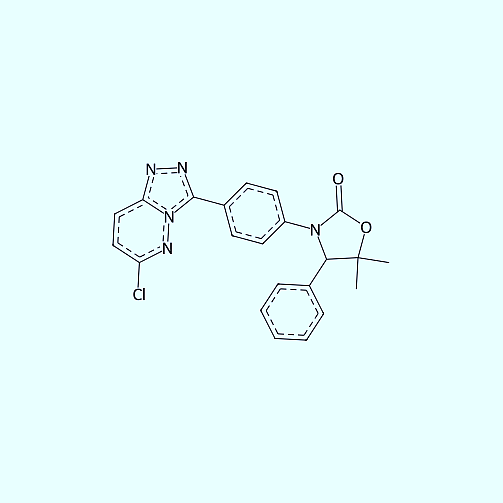 CC1(C)OC(=O)N(c2ccc(-c3nnc4ccc(Cl)nn34)cc2)C1c1ccccc1